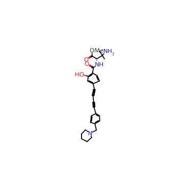 COC(=O)[C@@H](NC(=O)c1ccc(C#CC#Cc2ccc(CN3CCCCC3)cc2)cc1O)C(C)(C)N